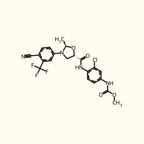 COC(=O)Nc1ccc(NC(=O)[C@@H]2CN(c3ccc(C#N)c(C(F)(F)F)c3)[C@@H](C)O2)c(Cl)c1